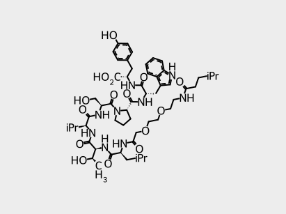 CC(C)CCC(=O)NCCOCCOCC(=O)N[C@@H](CC(C)C)C(=O)N[C@H](C(=O)N[C@H](C(=O)N[C@@H](CO)C(=O)N1CCC[C@H]1C(=O)N[C@@H](Cc1c[nH]c2ccccc12)C(=O)N[C@@H](Cc1ccc(O)cc1)C(=O)O)C(C)C)[C@@H](C)O